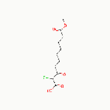 COC(=O)CCCCCCC(=O)C(Cl)C(=O)O